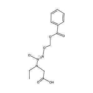 CCN(CC(=O)O)/[N+]([O-])=N/OCOC(=O)c1ccccc1